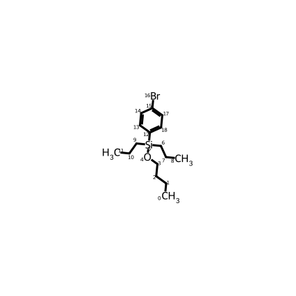 CCCCO[Si](CCC)(CCC)c1ccc(Br)cc1